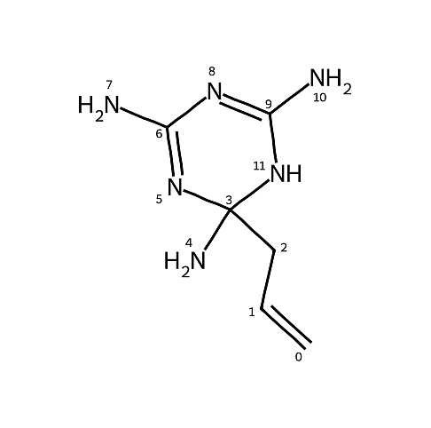 C=CCC1(N)N=C(N)N=C(N)N1